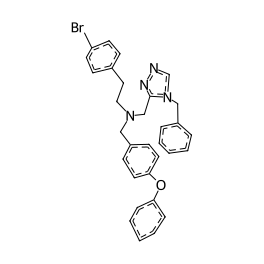 Brc1ccc(CCN(Cc2ccc(Oc3ccccc3)cc2)Cc2nncn2Cc2ccccc2)cc1